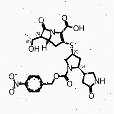 C[C@@H](O)[C@H]1C(=O)N2C(C(=O)O)=C(S[C@H]3C[C@@H](C4CNC(=O)C4)N(C(=O)OCc4ccc([N+](=O)[O-])cc4)C3)C[C@H]12